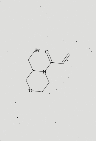 C=CC(=O)N1CCOCC1CC(C)C